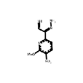 COc1nc(/C(C=N)=N/N)ccc1[N+](=O)[O-]